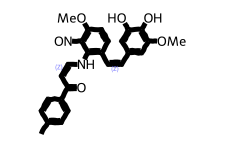 COc1cc(/C=C\c2ccc(OC)c(N=O)c2N/C=C\C(=O)c2ccc(C)cc2)cc(O)c1O